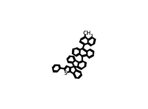 Cc1ccc(-c2c3ccccc3c(-c3cccc4c3-c3ccccc3C43c4ccccc4-c4sc(-c5ccccc5)cc43)c3ccccc23)c2ccccc12